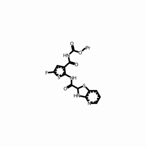 CC(C)OC(=O)NC(=O)c1cc(F)sc1NC(=O)C1Nc2ncccc2S1